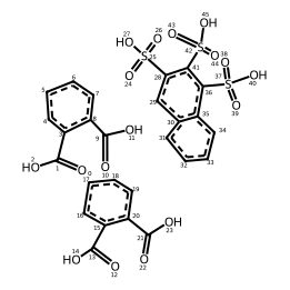 O=C(O)c1ccccc1C(=O)O.O=C(O)c1ccccc1C(=O)O.O=S(=O)(O)c1cc2ccccc2c(S(=O)(=O)O)c1S(=O)(=O)O